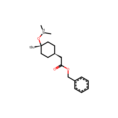 C[SiH](C)O[C@]1(C(C)(C)C)CC[C@@H](CC(=O)OCc2ccccc2)CC1